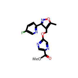 COC(=O)c1cnc(OCc2c(-c3ccc(F)cn3)noc2C)cn1